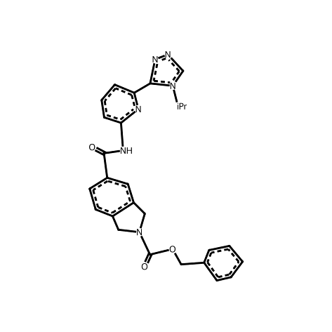 CC(C)n1cnnc1-c1cccc(NC(=O)c2ccc3c(c2)CN(C(=O)OCc2ccccc2)C3)n1